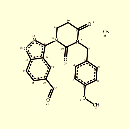 COc1ccc(CN2C(=O)CCN(c3noc4ccc(C=O)cc34)C2=O)cc1.[Os]